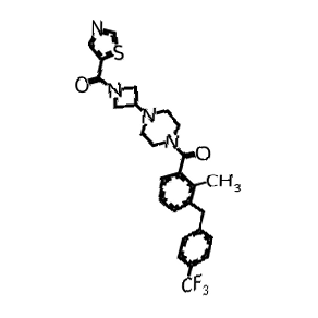 Cc1c(Cc2ccc(C(F)(F)F)cc2)cccc1C(=O)N1CCN(C2CN(C(=O)c3cncs3)C2)CC1